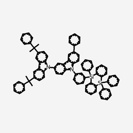 CC(C)(c1ccccc1)c1ccc2c(c1)c1cc(C(C)(C)c3ccccc3)ccc1n2-c1ccc2c(c1)c1cc(-c3ccccc3)ccc1n2-c1cccc([Si]2(c3ccccc3)c3ccccc3[Si](c3ccccc3)(c3ccccc3)c3ccccc32)c1